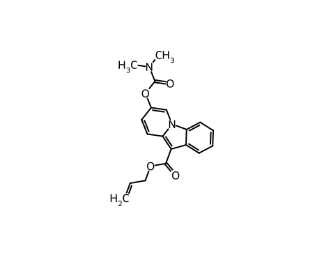 C=CCOC(=O)c1c2ccccc2n2cc(OC(=O)N(C)C)ccc12